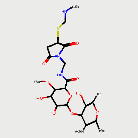 CCC1OC(C(C)(C)C)C(NC(C)=O)C(OC2OC(C(=O)NCN3C(=O)CC(SCNC(C)(C)C)C3=O)C(OC(C)(C)C)C(O)C2O)C1O